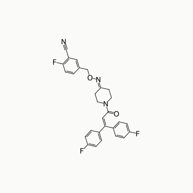 N#Cc1cc(CON=C2CCN(C(=O)C=C(c3ccc(F)cc3)c3ccc(F)cc3)CC2)ccc1F